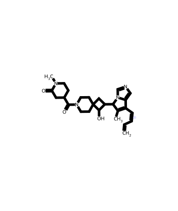 C=C/C=C\C1=C(C)C(C2CC3(CCN(C(=O)C4CCN(C)C(=O)C4)CC3)C2O)n2cncc21